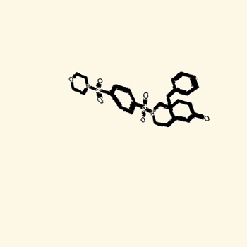 O=C1C=C2CCN(S(=O)(=O)c3ccc(S(=O)(=O)N4CCOCC4)cc3)CC2(Cc2ccccc2)CC1